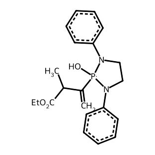 C=C(C(C)C(=O)OCC)[P]1(O)N(c2ccccc2)CCN1c1ccccc1